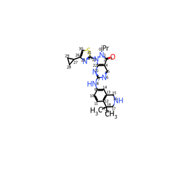 CC(C)n1c(=O)c2cnc(Nc3ccc4c(c3)CNCC4(C)C)nc2n1-c1nc(C2CC2)cs1